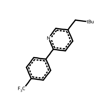 CC(C)(C)Cc1ccc(-c2ccc(C(F)(F)F)cc2)nc1